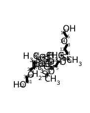 C[SiH2]O[Si@@](C)(CCO[Si](C)(C)CCCOCCO)O[Si](C)(C)O[Si](C)(C)CCCOCCO